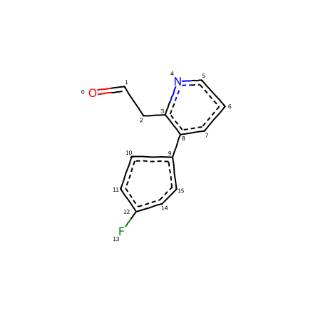 O=CCc1ncccc1-c1ccc(F)cc1